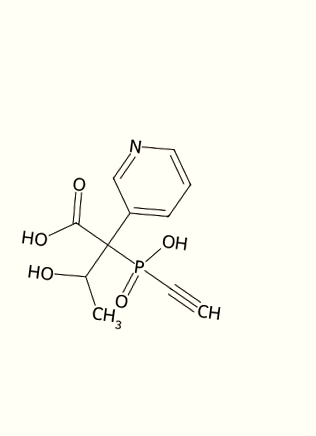 C#CP(=O)(O)C(C(=O)O)(c1cccnc1)C(C)O